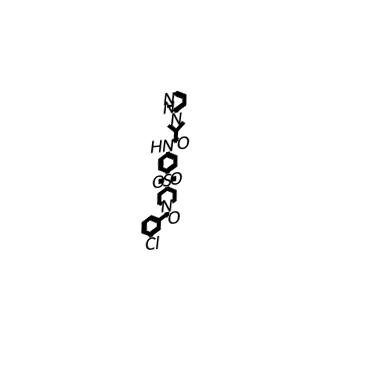 O=C(Nc1ccc(S(=O)(=O)C2CCN(C(=O)c3cccc(Cl)c3)CC2)cc1)C1CN(c2cccnn2)C1